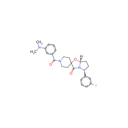 CN(C)c1cccc(C(=O)N2CCC3(CC2)O[C@@H]2CC[C@@H](c4cccc(F)c4)N2C3=O)c1